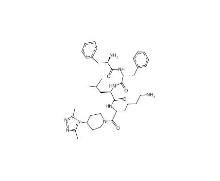 Cc1nnc(C)n1C1CCN(C(=O)[C@@H](CCCCN)NC(=O)[C@@H](CC(C)C)NC(=O)[C@@H](Cc2ccccc2)NC(=O)[C@H](N)Cc2ccccc2)CC1